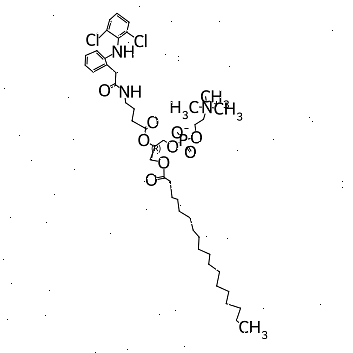 CCCCCCCCCCCCCCCCCC(=O)OC[C@H](COP(=O)([O-])OCC[N+](C)(C)C)OC(=O)CCCNC(=O)Cc1ccccc1Nc1c(Cl)cccc1Cl